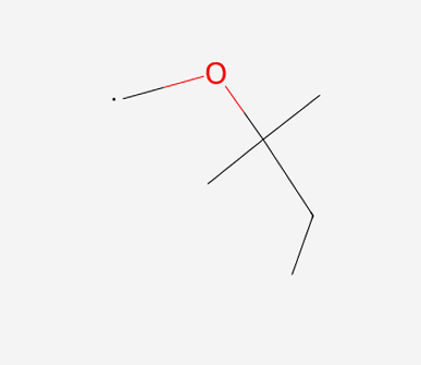 [CH2]OC(C)(C)CC